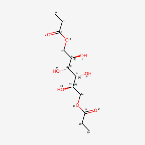 CCC(=O)OC[C@@H](O)[C@@H](O)[C@H](O)[C@H](O)COC(=O)CC